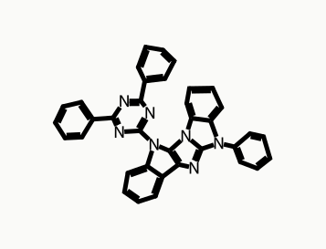 c1ccc(-c2nc(-c3ccccc3)nc(-n3c4ccccc4c4nc5n(-c6ccccc6)c6ccccc6n5c43)n2)cc1